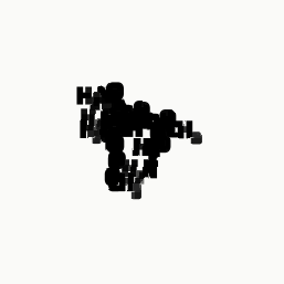 COCCOCCOCC(=O)N[C@H](C(=O)N[C@@H](CCCNC(N)=O)C(=O)Nc1ccc(C(=O)OC)c(OCC(=O)NCCCN)c1)C(C)C